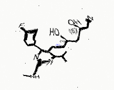 CNc1nc(-c2ccc(F)cc2)c(/C=C/[C@@H](O)C[C@@H](O)CC#N)c(C(C)C)n1